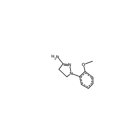 COc1ccccc1N1CCC(N)=N1